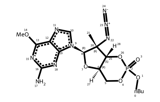 CCCCOP1(=O)OC[C@H]2O[C@@H](n3cnc4c(OC)nc(N)nc43)[C@](C)(N=[N+]=[N-])[C@@H]2O1